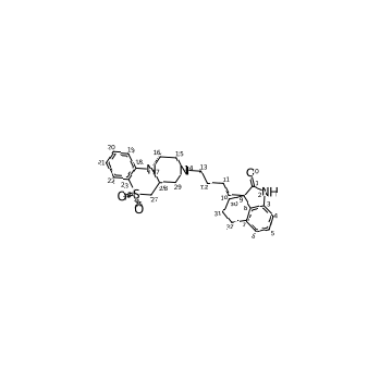 O=C1Nc2cccc3c2C1(CCCCN1CCN2c4ccccc4S(=O)(=O)CC2C1)CCC3